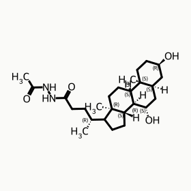 CC(=O)NNC(=O)CC[C@@H](C)C1CC[C@H]2[C@@H]3[C@@H](O)C[C@@H]4C[C@H](O)CC[C@]4(C)[C@H]3CC[C@]12C